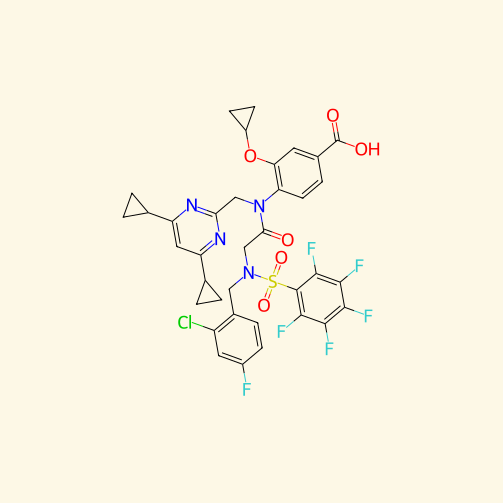 O=C(O)c1ccc(N(Cc2nc(C3CC3)cc(C3CC3)n2)C(=O)CN(Cc2ccc(F)cc2Cl)S(=O)(=O)c2c(F)c(F)c(F)c(F)c2F)c(OC2CC2)c1